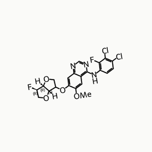 COc1cc2c(Nc3ccc(Cl)c(Cl)c3F)ncnc2cc1OC1CO[C@H]2[C@H](F)CO[C@@H]12